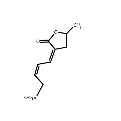 CCCCCCCC/C=C\C=C1\CC(C)OC1=O